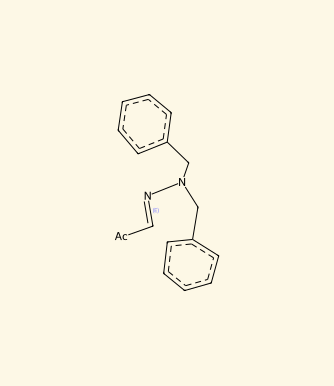 CC(=O)/C=N/N(Cc1ccccc1)Cc1ccccc1